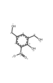 O=[N+]([O-])c1cc(CO)cc(CO)c1O